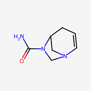 NC(=O)N1CN2C=CCC1C2